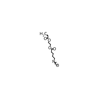 C=CC(=O)OCCOC(=O)CCCCN=C=O